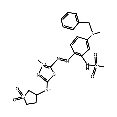 CN(Cc1ccccc1)c1ccc(N=Nc2sc(NC3CCS(=O)(=O)C3)n[n+]2C)c(NS(C)(=O)=O)c1